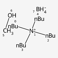 CCCC[N+](CCCC)(CCCC)CCCC.CO.[BH4-]